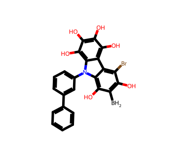 Bc1c(O)c(Br)c2c3c(O)c(O)c(O)c(O)c3n(-c3cccc(-c4ccccc4)c3)c2c1O